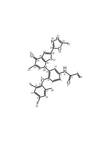 C=CC(=O)Nc1ccc(Oc2c(C)cc(F)cc2C)c(-n2cc(C)c(=O)c3cc(-c4nnc(C)o4)sc32)c1